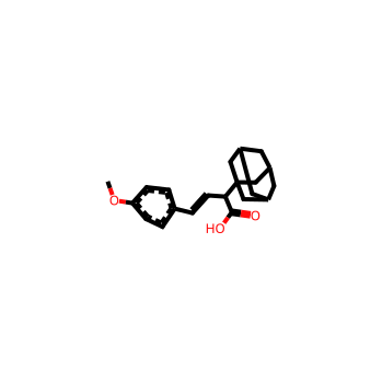 COc1ccc(/C=C/C(C(=O)O)C23CC4CC(CC(C4)C2)C3)cc1